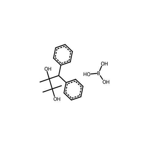 CC(C)(O)C(C)(O)C(c1ccccc1)c1ccccc1.OB(O)O